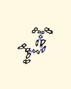 c1ccc(N(c2ccc(-c3ccc(-n4c5ccc(-c6cccc7ccccc67)cc5c5cc(-c6cccc7ccccc67)ccc54)cc3)cc2)c2cccc(N(c3ccccc3)c3ccc(-n4c5ccc(-c6cccc7ccccc67)cc5c5cc(-c6cccc7ccccc67)ccc54)cc3)c2)cc1